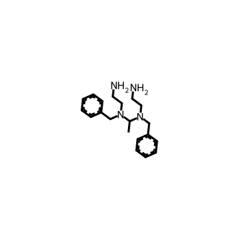 CC(N(CCN)Cc1ccccc1)N(CCN)Cc1ccccc1